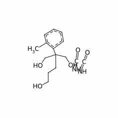 Cc1ccccc1C(CO)(CO)CCCO.N=C=O.N=C=O